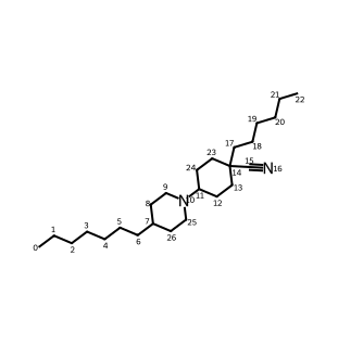 CCCCCCCC1CCN(C2CCC(C#N)(CCCCCC)CC2)CC1